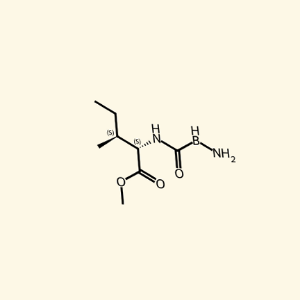 CC[C@H](C)[C@H](NC(=O)BN)C(=O)OC